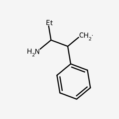 [CH2]C(c1ccccc1)C(N)CC